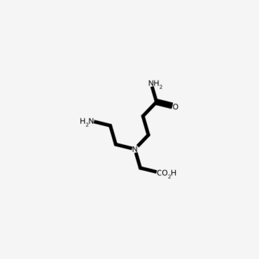 NCCN(CCC(N)=O)CC(=O)O